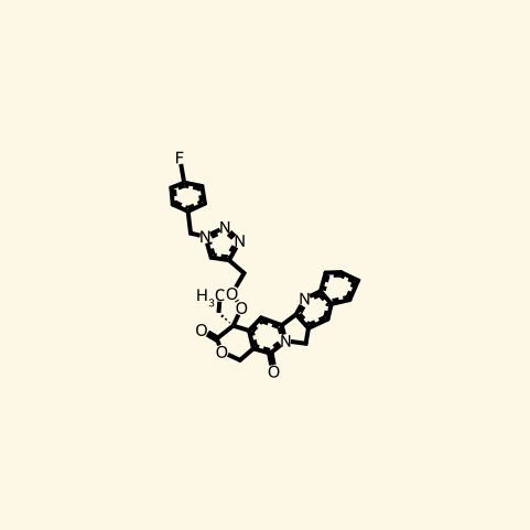 CC[C@@]1(OOCc2cn(Cc3ccc(F)cc3)nn2)C(=O)OCc2c1cc1n(c2=O)Cc2cc3ccccc3nc2-1